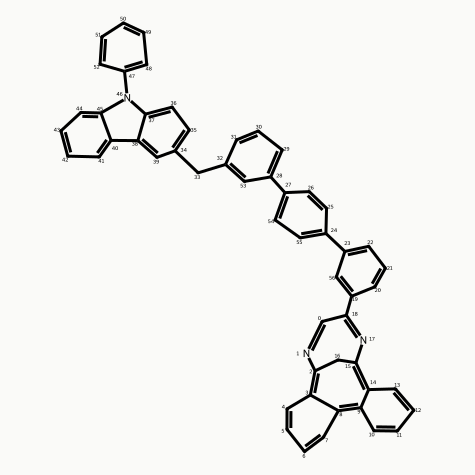 C1=NC2=c3ccccc3=c3ccccc3=C(C2)N=C1c1cccc(-c2ccc(-c3cccc(Cc4ccc5c(c4)c4ccccc4n5-c4ccccc4)c3)cc2)c1